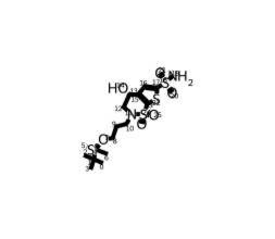 CC(C)(C)[Si](C)(C)OCCCN1CC(O)c2cc(S(N)(=O)=O)sc2S1(=O)=O